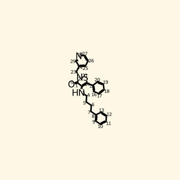 O=c1c(NCCCCc2ccccc2)c(-c2ccccc2)sn1Cc1cccnc1